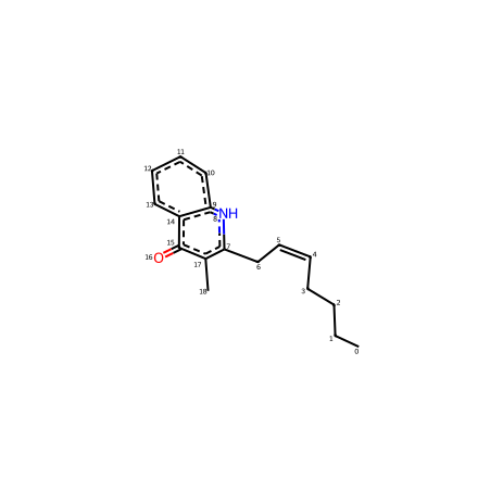 CCCC/C=C\Cc1[nH]c2ccccc2c(=O)c1C